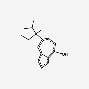 CCC(C)(c1ccc(O)c2cccc-2c1)C(C)C